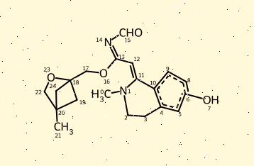 CN1CCc2cc(O)ccc2/C1=C/C(=N\C=O)OCC12CC(C)(CO1)C2